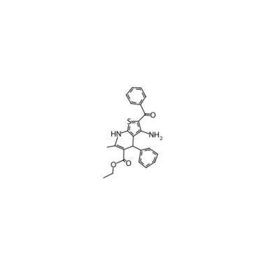 CCOC(=O)C1=C(C)Nc2sc(C(=O)c3ccccc3)c(N)c2C1c1ccccc1